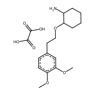 COc1ccc(CCOC2CCCCC2N)cc1OC.O=C(O)C(=O)O